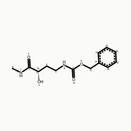 CNC(=O)[C@@H](O)CCNC(=O)OCc1ccccc1